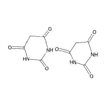 O=C1CC(=O)NC(=O)N1.O=C1CC(=O)NC(=O)N1